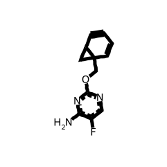 Nc1nc(OCC23C=CC#CC2C3)ncc1F